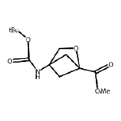 COC(=O)C12CC(NC(=O)OC(C)(C)C)(CO1)C2